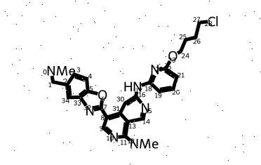 CNCc1ccc2oc(-c3cnc(NC)c4cnc(Nc5cccc(OCCCCCl)n5)cc34)nc2c1